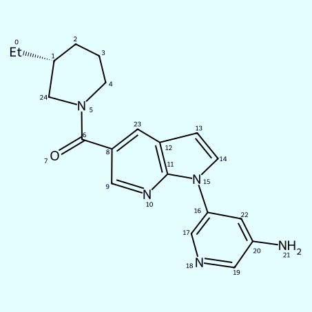 CC[C@@H]1CCCN(C(=O)c2cnc3c(ccn3-c3cncc(N)c3)c2)C1